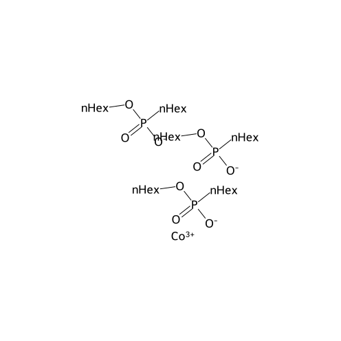 CCCCCCOP(=O)([O-])CCCCCC.CCCCCCOP(=O)([O-])CCCCCC.CCCCCCOP(=O)([O-])CCCCCC.[Co+3]